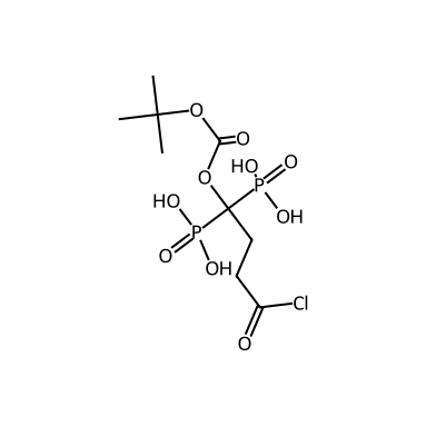 CC(C)(C)OC(=O)OC(CCC(=O)Cl)(P(=O)(O)O)P(=O)(O)O